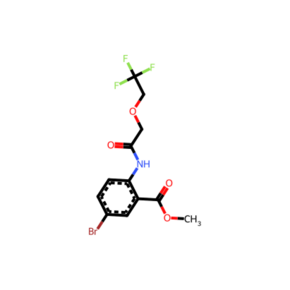 COC(=O)c1cc(Br)ccc1NC(=O)COCC(F)(F)F